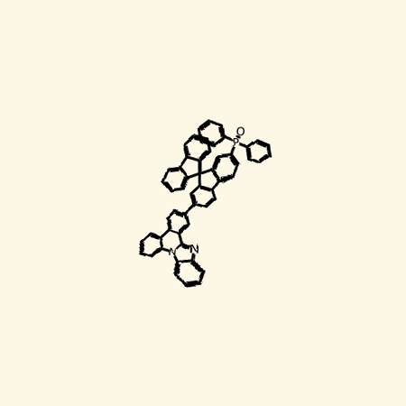 O=P(c1ccccc1)(c1ccccc1)c1ccc2c(c1)C1(c3ccccc3-c3ccccc31)c1cc(-c3ccc4c5ccccc5n5c6ccccc6nc5c4c3)ccc1-2